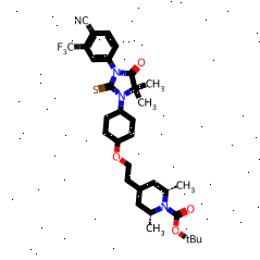 C[C@@H]1CC(CCOC2CCC(N3C(=S)N(c4ccc(C#N)c(C(F)(F)F)c4)C(=O)C3(C)C)CC2)C[C@H](C)N1C(=O)OC(C)(C)C